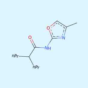 CCCC(CCC)C(=O)Nc1nc(C)co1